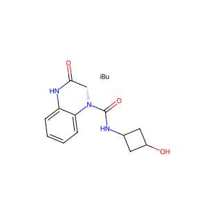 CC[C@H](C)[C@H]1C(=O)Nc2ccccc2N1C(=O)NC1CC(O)C1